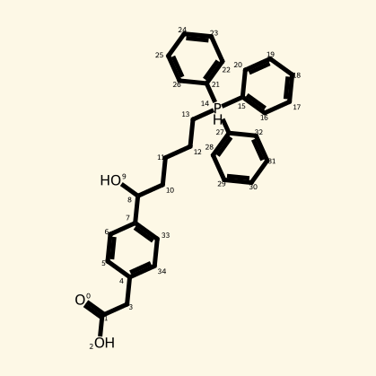 O=C(O)Cc1ccc(C(O)CCCC[PH](c2ccccc2)(c2ccccc2)c2ccccc2)cc1